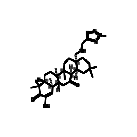 [C-]#[N+]C1=C[C@]2(C)[C@H]3CC(=O)[C@@H]4[C@@H]5CC(C)(C)CC[C@]5(CNCc5nnn(C)n5)CC[C@@]4(C)[C@]3(C)CC[C@H]2C(C)(C)C1=O